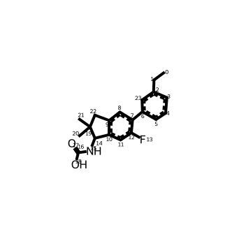 CCc1cccc(-c2cc3c(cc2F)C(NC(=O)O)C(C)(C)C3)c1